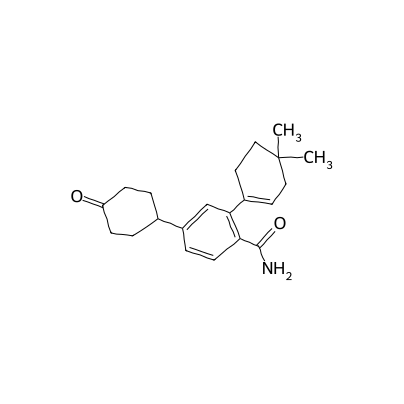 CC1(C)CC=C(c2cc(C3CCC(=O)CC3)ccc2C(N)=O)CC1